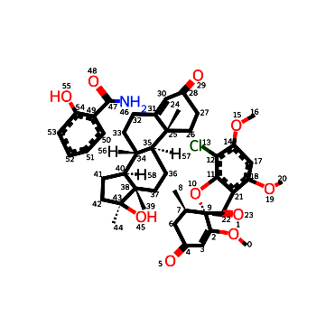 COC1=CC(=O)C[C@@H](C)[C@]12Oc1c(Cl)c(OC)cc(OC)c1C2=O.C[C@]12CCC(=O)C=C1CC[C@@H]1[C@@H]2CC[C@@]2(C)[C@H]1CC[C@]2(C)O.NC(=O)c1ccccc1O